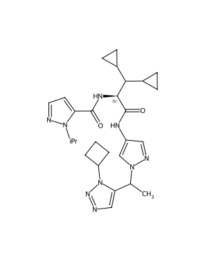 CC(c1cnnn1C1CCC1)n1cc(NC(=O)[C@@H](NC(=O)c2ccnn2C(C)C)C(C2CC2)C2CC2)cn1